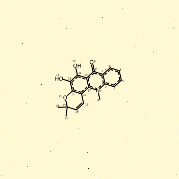 Cn1c2ccccc2c(=O)c2c(O)c(O)c3c(c21)C=CC(C)(C)O3